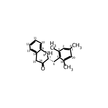 Cc1cc(C)c(C[C@H]2Nc3ccccc3CC2=O)c(C)c1